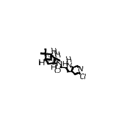 C[C@@H]1[C@@H](NC(=O)c2cc3cc(Cl)ncc3[nH]2)C[C@H]2C[C@@H]1C2(C)C